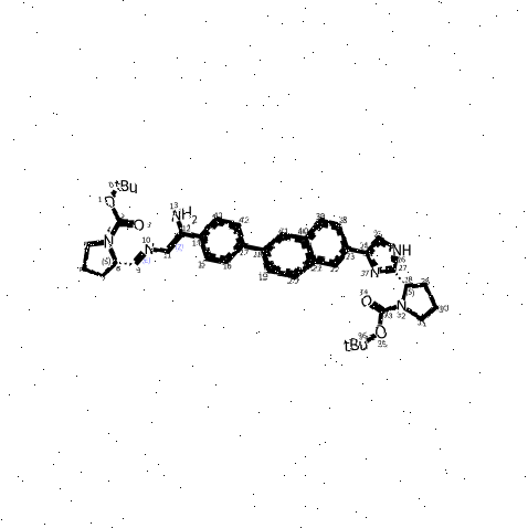 CC(C)(C)OC(=O)N1CCC[C@H]1/C=N/C=C(\N)c1ccc(-c2ccc3cc(-c4c[nH]c([C@@H]5CCCN5C(=O)OC(C)(C)C)n4)ccc3c2)cc1